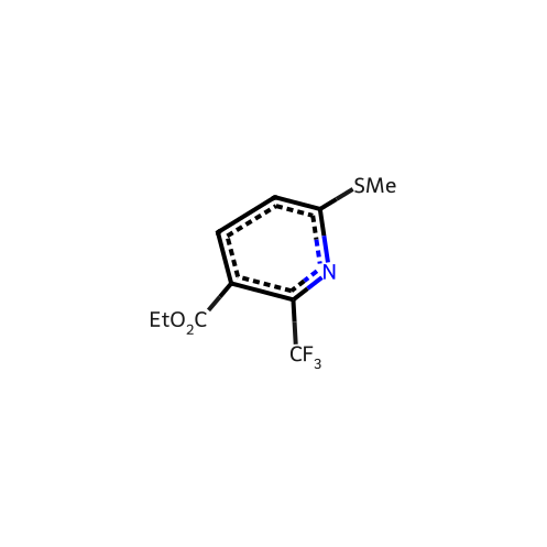 CCOC(=O)c1ccc(SC)nc1C(F)(F)F